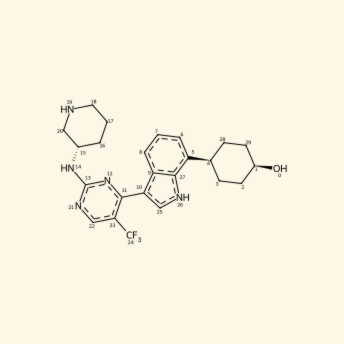 O[C@H]1CC[C@@H](c2cccc3c(-c4nc(N[C@H]5CCCNC5)ncc4C(F)(F)F)c[nH]c32)CC1